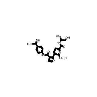 CC(C)(C)C(CO)NC(=O)c1ccc(-c2sccc2C(=O)Nc2ccc(C(=N)N)cc2)c(C(=O)O)n1